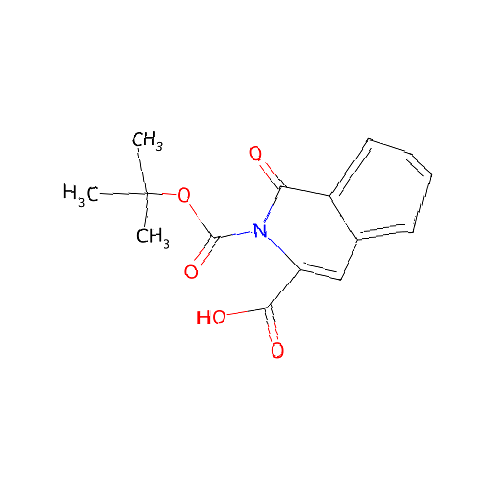 CC(C)(C)OC(=O)n1c(C(=O)O)cc2ccccc2c1=O